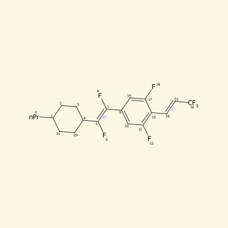 CCCC1CCC(/C(F)=C(\F)c2cc(F)c(/C=C/C(F)(F)F)c(F)c2)CC1